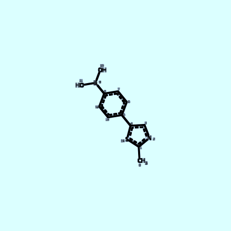 Cc1ncc(-c2ccc(B(O)O)cc2)s1